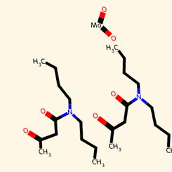 CCCCN(CCCC)C(=O)CC(C)=O.CCCCN(CCCC)C(=O)CC(C)=O.[O]=[Mo]=[O]